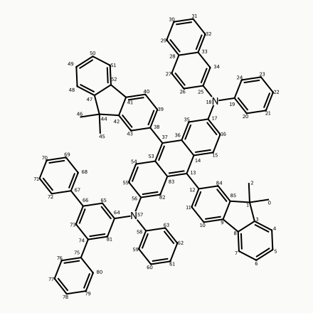 CC1(C)c2ccccc2-c2ccc(-c3c4ccc(N(c5ccccc5)c5ccc6ccccc6c5)cc4c(-c4ccc5c(c4)C(C)(C)c4ccccc4-5)c4ccc(N(c5ccccc5)c5cc(-c6ccccc6)cc(-c6ccccc6)c5)cc34)cc21